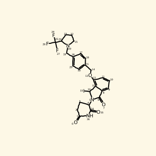 O=C1CCC(N2C(=O)c3cccc(OCc4ccc(CN5CCCC5C(F)(F)F)cc4)c3C2I)C(=O)N1